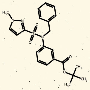 Cn1ccc(S(=O)(=O)N(Cc2ccccc2)c2cccc(C(=O)OC(C)(C)C)c2)n1